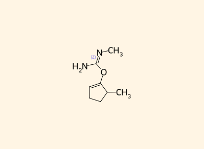 C/N=C(/N)OC1=CCCC1C